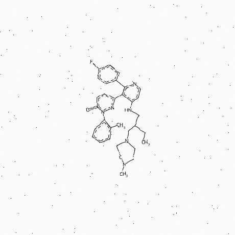 CCC(CNc1ccnc(-c2ccc(F)cc2)c1-c1ccc(=O)n(-c2ccccc2C)n1)CN1CCN(C)CC1